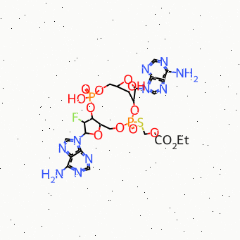 CCOC(=O)OCSP1(=O)OCC2OC(n3cnc4c(N)ncnc43)C(F)C2OP(=O)(O)OCC2OC(n3cnc4c(N)ncnc43)C(O1)C2O